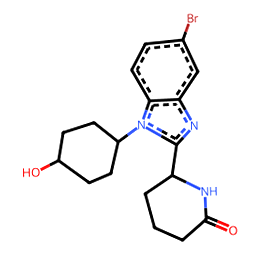 O=C1CCCC(c2nc3cc(Br)ccc3n2C2CCC(O)CC2)N1